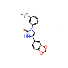 Cc1cccc(-n2cc(-c3ccc4c(c3)OCO4)[nH]c2=S)c1